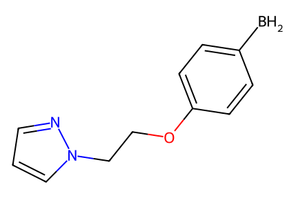 Bc1ccc(OCCn2cccn2)cc1